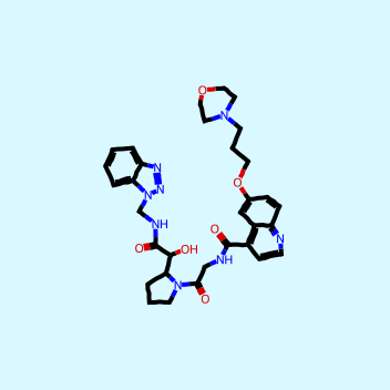 O=C(NCC(=O)N1CCCC1C(O)C(=O)NCn1nnc2ccccc21)c1ccnc2ccc(OCCCN3CCOCC3)cc12